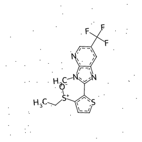 CC[S+]([O-])c1ccsc1-c1nc2cc(C(F)(F)F)cnc2n1C